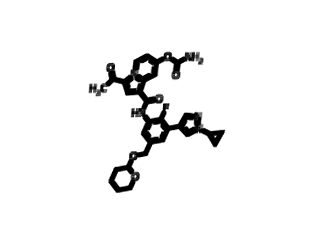 CC(=O)c1cc(C(=O)Nc2cc(COC3CCCCO3)cc(-c3cnn(C4CC4)c3)c2F)c2cc(OC(N)=O)ccn12